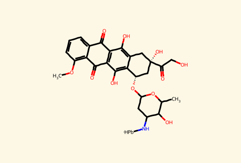 COc1cccc2c1C(=O)c1c(O)c3c(c(O)c1C2=O)C[C@@](O)(C(=O)CO)C[C@@H]3OC1CC([NH][PbH])C(O)C(C)O1